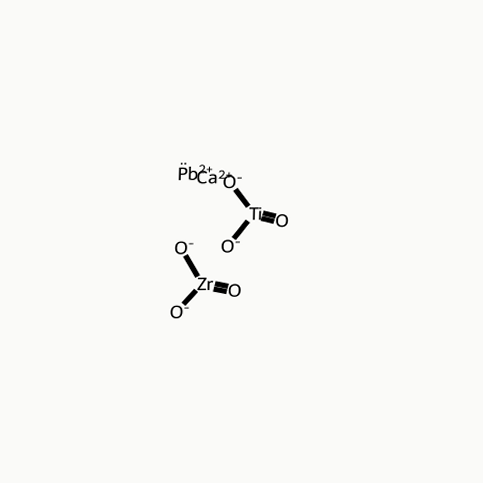 [Ca+2].[O]=[Ti]([O-])[O-].[O]=[Zr]([O-])[O-].[Pb+2]